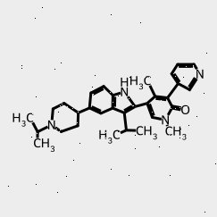 Cc1c(-c2[nH]c3ccc(C4CCN(C(C)C)CC4)cc3c2C(C)C)cn(C)c(=O)c1-c1cccnc1